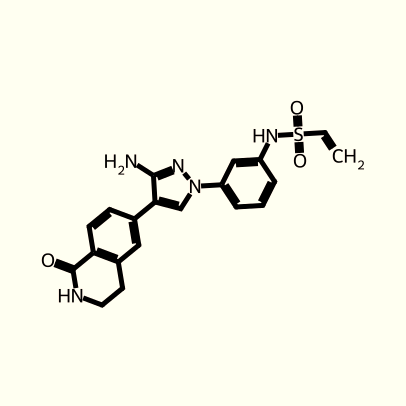 C=CS(=O)(=O)Nc1cccc(-n2cc(-c3ccc4c(c3)CCNC4=O)c(N)n2)c1